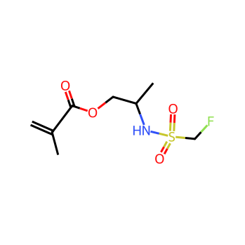 C=C(C)C(=O)OCC(C)NS(=O)(=O)CF